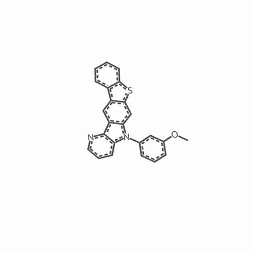 COc1cccc(-n2c3cc4sc5ccccc5c4cc3c3ncccc32)c1